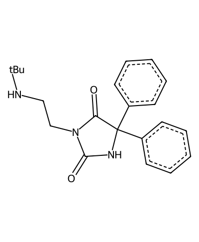 CC(C)(C)NCCN1C(=O)NC(c2ccccc2)(c2ccccc2)C1=O